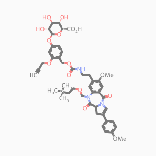 C#CCOc1cc(O[C@@H]2O[C@H](C(=O)O)[C@@H](O)[C@H](O)[C@H]2O)ccc1COC(=O)NCCc1cc2c(cc1OC)C(=O)N1C=C(c3ccc(OC)cc3)CC1C(=O)N2COCC[Si](C)(C)C